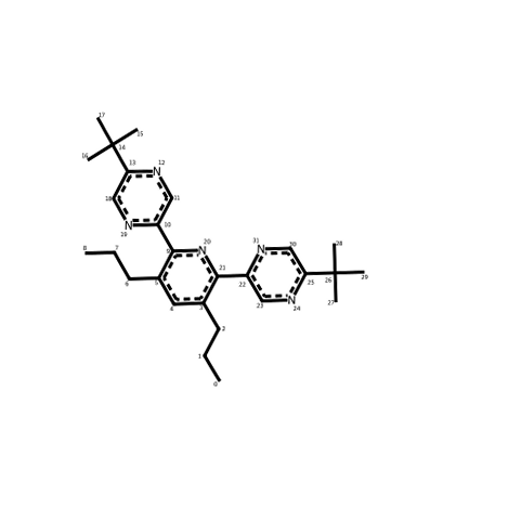 CCCc1cc(CCC)c(-c2cnc(C(C)(C)C)cn2)nc1-c1cnc(C(C)(C)C)cn1